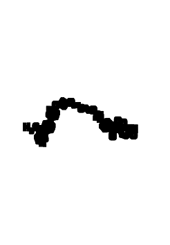 Cn1c2ccncc2c2ccc(-c3ccc(OC4CC(OCCOCCOC5CN(c6ccc7c(c6)C(=O)N(C6CCC(=O)NC6=O)C7=O)C5)C4)nc3)cc21